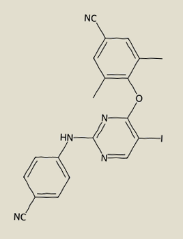 Cc1cc(C#N)cc(C)c1Oc1nc(Nc2ccc(C#N)cc2)ncc1I